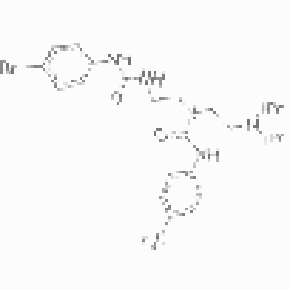 CC(C)N(CCN(CCNC(=O)Nc1ccc(Br)cc1)C(=O)Nc1ccc(C(F)(F)F)cc1)C(C)C